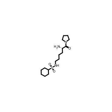 N[C@@H](CCCCNS(=O)(=O)C1CCCCC1)C(=O)N1CCCC1